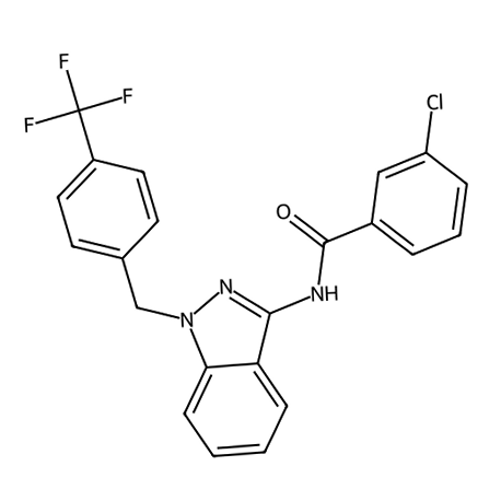 O=C(Nc1nn(Cc2ccc(C(F)(F)F)cc2)c2ccccc12)c1cccc(Cl)c1